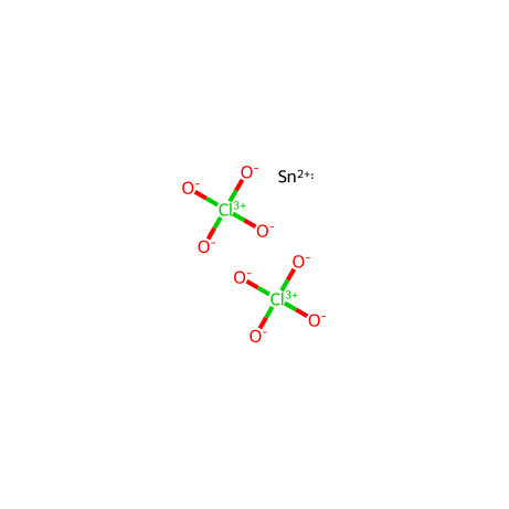 [O-][Cl+3]([O-])([O-])[O-].[O-][Cl+3]([O-])([O-])[O-].[Sn+2]